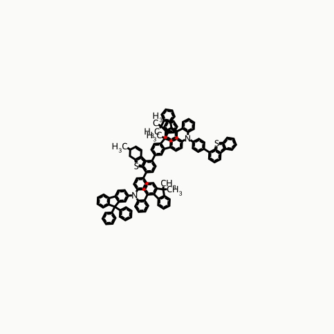 CC1C=Cc2c(sc3c(-c4ccc(N(c5ccc6c(c5)C(c5ccccc5)(c5ccccc5)c5ccccc5-6)c5ccccc5-c5cccc6c5-c5ccccc5C6(C)C)cc4)ccc(-c4ccc5c(c4)-c4ccc(N(c6ccc(-c7cccc8c7sc7ccccc78)cc6)c6ccccc6-c6cccc7c6-c6ccccc6C7(C)C)cc4C5(C)c4ccccc4)c23)C1